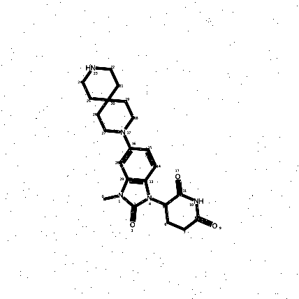 Cn1c(=O)n(C2CCC(=O)NC2=O)c2ccc(N3CCC4(CCNCC4)CC3)cc21